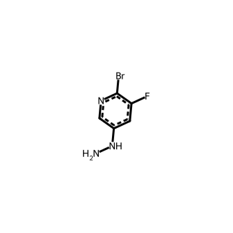 NNc1cnc(Br)c(F)c1